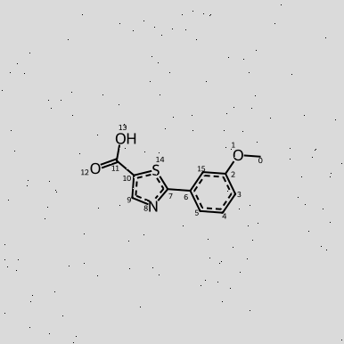 COc1cccc(-c2ncc(C(=O)O)s2)c1